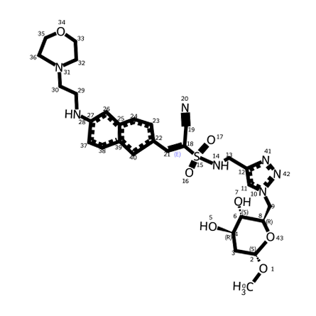 CO[C@@H]1C[C@@H](O)[C@H](O)[C@@H](Cn2cc(CNS(=O)(=O)/C(C#N)=C/c3ccc4cc(NCCN5CCOCC5)ccc4c3)nn2)O1